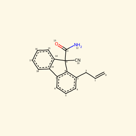 C=CCc1cccc2c1C(C#N)(C(N)=O)c1ccccc1-2